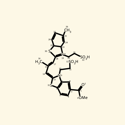 COC(=O)c1ccc2c(c1)N(CCS(=O)(=O)O)C(=CC(C)=CC1=[N+](CCS(=O)(=O)O)C3C=C(C)C=CC3S1)S2